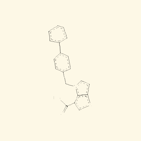 O=C(O)c1csc2ccn(Cc3ccc(-c4ccccc4)cc3)c12